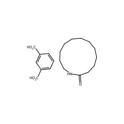 O=C(O)c1cccc(C(=O)O)c1.O=C1CCCCCCCCCCCN1